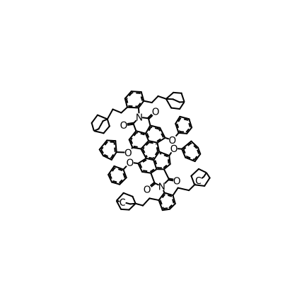 O=C1c2cc(Oc3ccccc3)c3c4c(Oc5ccccc5)cc5c6c(cc(Oc7ccccc7)c(c7c(Oc8ccccc8)cc(c2c37)C(=O)N1c1c(CCC23CCC(CC2)CC3)cccc1CCC12CCC(CC1)CC2)c64)C(=O)N(c1c(CCC23CCC(CC2)CC3)cccc1CCC12CCC(CC1)CC2)C5=O